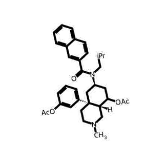 CC(=O)Oc1cccc([C@@]23CCN(C)C[C@H]2C(OC(C)=O)C[C@H](N(CC(C)C)C(=O)c2ccc4ccccc4c2)C3)c1